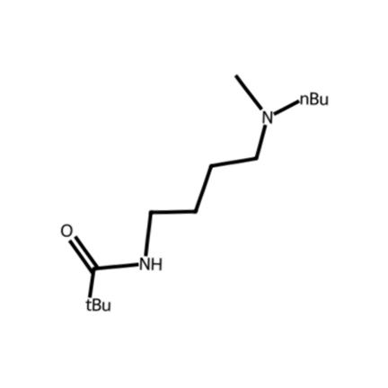 CCCCN(C)CCCCNC(=O)C(C)(C)C